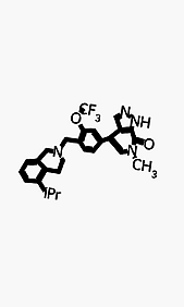 CC(C)c1cccc2c1CCN(Cc1ccc(-c3cn(C)c(=O)c4[nH]ncc34)cc1OC(F)(F)F)C2